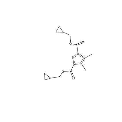 Cc1c(C(=O)OCC2CC2)sc(C(=O)OCC2CC2)c1C